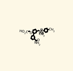 Cc1ccc(S(=O)(=O)N(C)Cc2ccc(OCC(=O)O)c(-c3cccc(C(N)=O)c3)c2)cc1